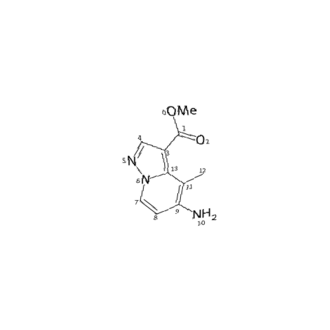 COC(=O)c1cnn2ccc(N)c(C)c12